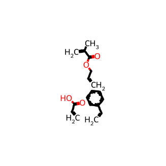 C=CC(=O)O.C=CCOC(=O)C(=C)C.C=Cc1ccccc1